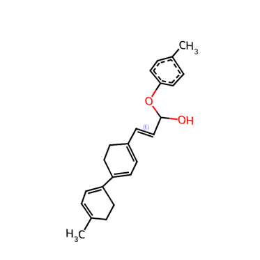 CC1=CC=C(C2=CC=C(/C=C/C(O)Oc3ccc(C)cc3)CC2)CC1